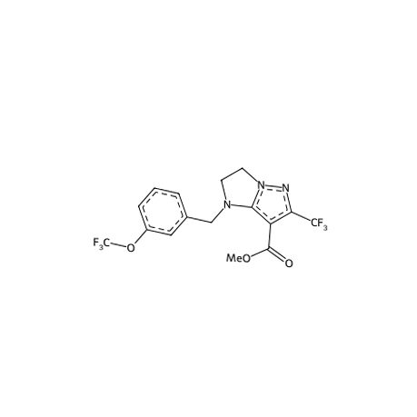 COC(=O)c1c(C(F)(F)F)nn2c1N(Cc1cccc(OC(F)(F)F)c1)CC2